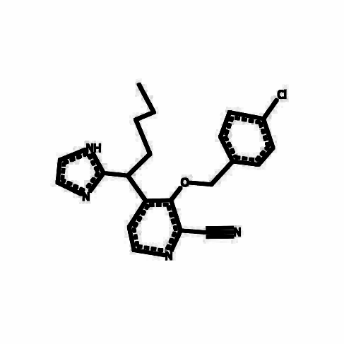 CCCCC(c1ncc[nH]1)c1ccnc(C#N)c1OCc1ccc(Cl)cc1